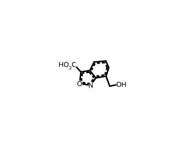 O=C(O)c1onc2c(CO)cccc12